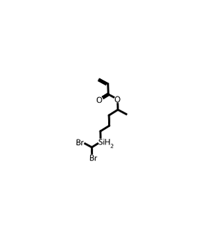 C=CC(=O)OC(C)CCC[SiH2]C(Br)Br